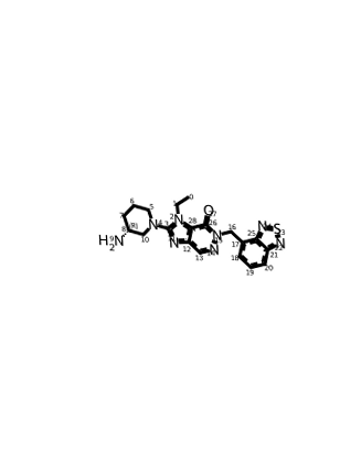 CCn1c(N2CCC[C@@H](N)C2)nc2cnn(Cc3cccc4nsnc34)c(=O)c21